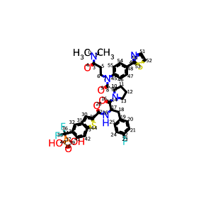 CN(C)C(=O)CCN(C(=O)[C@@H]1CCCN1C(=O)C(Cc1ccc(F)cc1)NC(=O)c1cc2cc(C(F)(F)P(=O)(O)O)ccc2s1)c1ccc(-c2nccs2)cc1